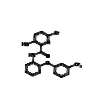 O=C(Nc1ccccc1Oc1cccc(C(F)(F)F)c1)c1nc(Br)ccc1O